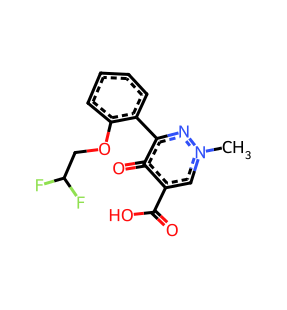 Cn1cc(C(=O)O)c(=O)c(-c2ccccc2OCC(F)F)n1